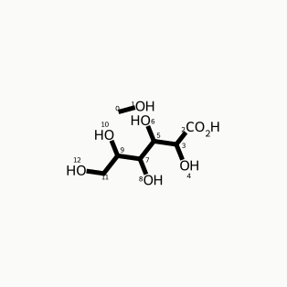 CO.O=C(O)C(O)C(O)C(O)C(O)CO